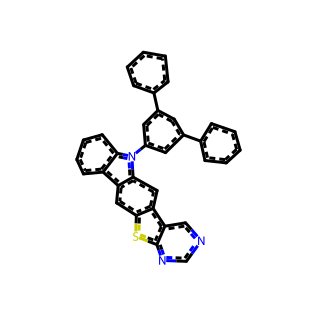 c1ccc(-c2cc(-c3ccccc3)cc(-n3c4ccccc4c4cc5sc6ncncc6c5cc43)c2)cc1